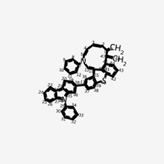 C=C1/C=C\C=C/N(c2ccccc2)/C=C2/c3cc(-c4ccc5c6ccccc6n(-c6ccccc6)c5c4)ccc3Sc3cccc(c32)C1=C